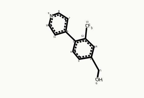 OCc1ccc(-c2ccncc2)c(C(F)(F)F)c1